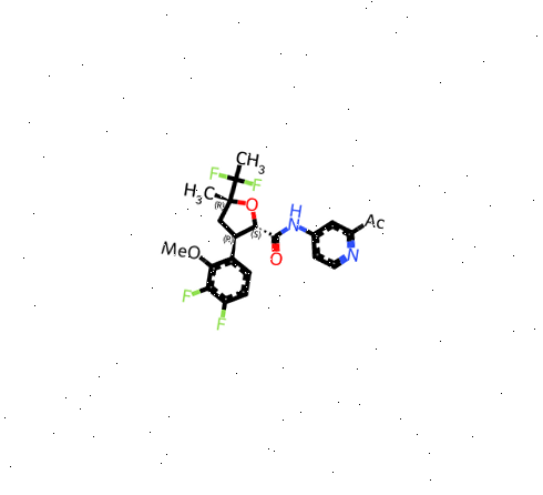 COc1c([C@H]2C[C@](C)(C(C)(F)F)O[C@@H]2C(=O)Nc2ccnc(C(C)=O)c2)ccc(F)c1F